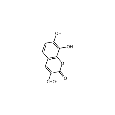 O=[C]c1cc2ccc(O)c(O)c2oc1=O